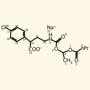 CCCC(=O)OC(C)OC(=O)NCCC(C(=O)[O-])c1ccc(Cl)cc1.[Na+]